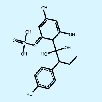 CCC(c1ccc(O)cc1)C(O)(O)C1C(O)=CC(O)=C/C1=N\P(=O)(O)O